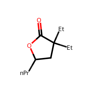 CCCC1CC(CC)(CC)C(=O)O1